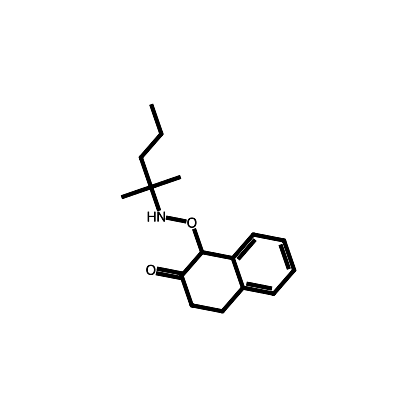 CCCC(C)(C)NOC1C(=O)CCc2ccccc21